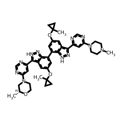 C[C@@H]1CN(c2cc(-c3[nH]nc4c(-c5cc(OC6(C)CC6)cc6c(-c7cc(N8CCN(C)CC8)ncn7)n[nH]c56)cc(OC5(C)CC5)cc34)ncn2)CCO1